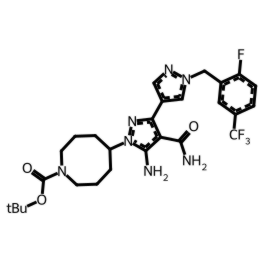 CC(C)(C)OC(=O)N1CCCC(n2nc(-c3cnn(Cc4cc(C(F)(F)F)ccc4F)c3)c(C(N)=O)c2N)CCC1